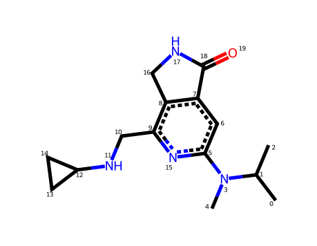 CC(C)N(C)c1cc2c(c(CNC3CC3)n1)CNC2=O